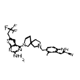 Cc1c(CN2CCC3(CCN(c4nc(N)nc5sc(CC(F)(F)F)cc45)C3)C2)ccc2[nH]c(C#N)cc12